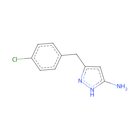 Nc1cc(Cc2ccc(Cl)cc2)n[nH]1